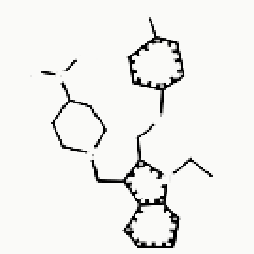 CCn1c(COc2ccc(Cl)cc2)c(CN2CCC(N(C)C)CC2)c2ccccc21